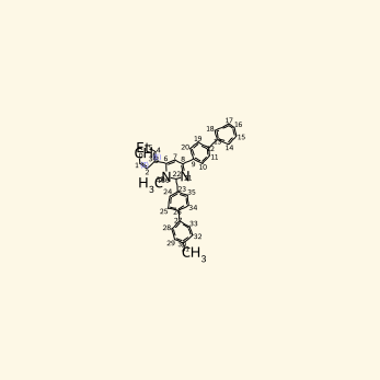 C/C=C\C(=C/CC)C1=CC(c2ccc(-c3ccccc3)cc2)=NC(c2ccc(-c3ccc(C)cc3)cc2)N1C